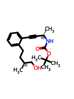 C[C@H](CO)CCc1ccccc1C#C[C@H](C)NC(=O)OC(C)(C)C